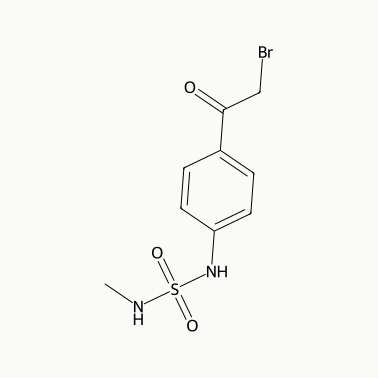 CNS(=O)(=O)Nc1ccc(C(=O)CBr)cc1